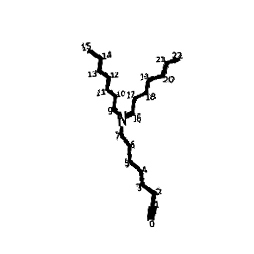 C#CCCCCCCN(CCCCCCC)CCCCCCC